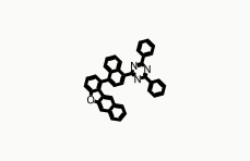 c1ccc(-c2nc(-c3ccccc3)nc(-c3ccc(-c4cccc5oc6cc7ccccc7cc6c45)c4ccccc34)n2)cc1